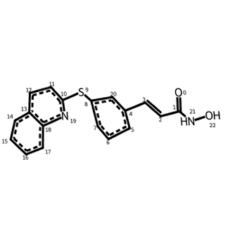 O=C(/C=C/c1cccc(Sc2ccc3ccccc3n2)c1)NO